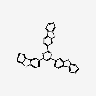 c1ccc2c(c1)oc1ccc(-c3cc(-c4ccc5c(c4)sc4ccccc45)nc(-c4ccc5c(c4)sc4ccccc45)n3)cc12